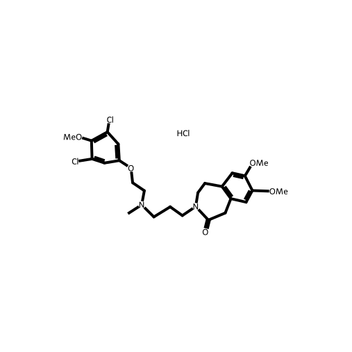 COc1cc2c(cc1OC)CC(=O)N(CCCN(C)CCOc1cc(Cl)c(OC)c(Cl)c1)CC2.Cl